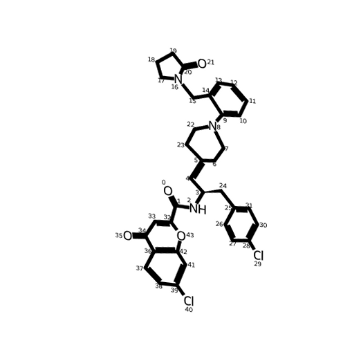 O=C(N[C@@H](C=C1CCN(c2ccccc2CN2CCCC2=O)CC1)Cc1ccc(Cl)cc1)c1cc(=O)c2ccc(Cl)cc2o1